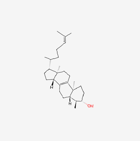 CC(C)=CCCC(C)[C@H]1CC[C@H]2C3=C(CC[C@]12C)[C@@]1(C)CC[C@H](O)[C@@H](C)[C@@H]1CC3